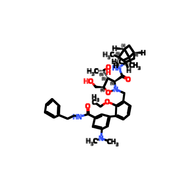 CCOc1c(CN2O[C@@H](CO)[C@H]([C@H](C)O)[C@H]2C(=O)N[C@H]2C[C@H]3C[C@@H]([C@@H]2C)C3(C)C)cccc1-c1cc(C(=O)NCCc2ccccc2)cc(N(C)C)c1